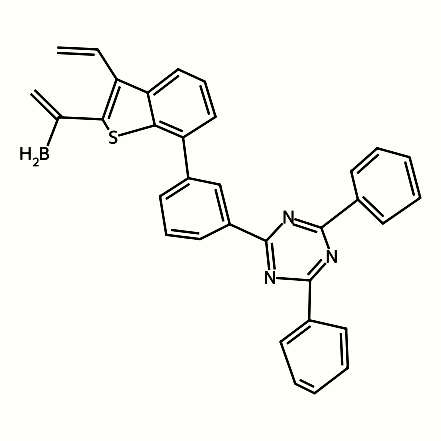 BC(=C)c1sc2c(-c3cccc(-c4nc(-c5ccccc5)nc(-c5ccccc5)n4)c3)cccc2c1C=C